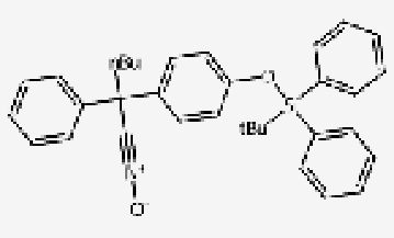 CCCCC(C#[N+][O-])(c1ccccc1)c1ccc(O[Si](c2ccccc2)(c2ccccc2)C(C)(C)C)cc1